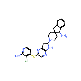 Nc1nccc(Sc2cnc3c(n2)CC(N2CCC4(CC2)Cc2ccccc2[C@H]4N)N3)c1Cl